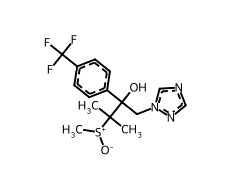 C[S+]([O-])C(C)(C)C(O)(Cn1cncn1)c1ccc(C(F)(F)F)cc1